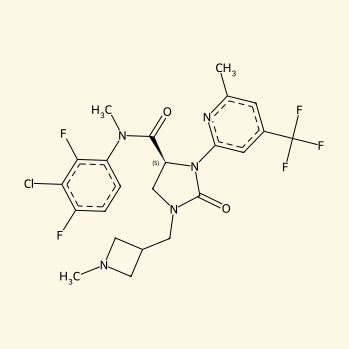 Cc1cc(C(F)(F)F)cc(N2C(=O)N(CC3CN(C)C3)C[C@H]2C(=O)N(C)c2ccc(F)c(Cl)c2F)n1